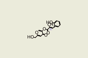 C/C(=C\c1ccccc1O)C(=O)Oc1coc(CO)cc1=O